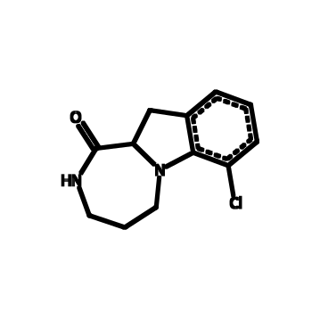 O=C1NCCCN2c3c(Cl)cccc3CC12